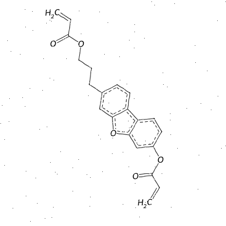 C=CC(=O)OCCCc1ccc2c(c1)oc1cc(OC(=O)C=C)ccc12